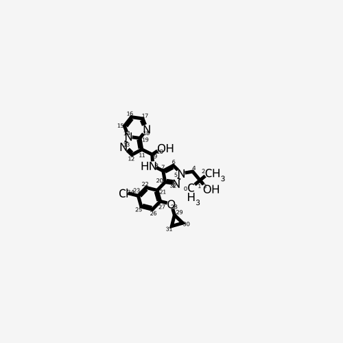 CC(C)(O)Cn1cc(NC(O)c2cnn3cccnc23)c(-c2cc(Cl)ccc2OC2CC2)n1